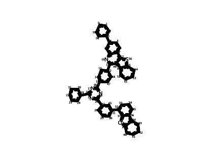 c1ccc(-c2ccc3c(c2)nc(-c2ccc(-c4nc(-c5ccccc5)nc(-c5cccc(-c6cccc7c6oc6ccccc67)c5)n4)cc2)c2c4ccccc4sc32)cc1